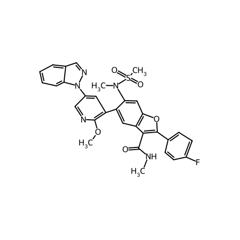 CNC(=O)c1c(-c2ccc(F)cc2)oc2cc(N(C)S(C)(=O)=O)c(-c3cc(-n4ncc5ccccc54)cnc3OC)cc12